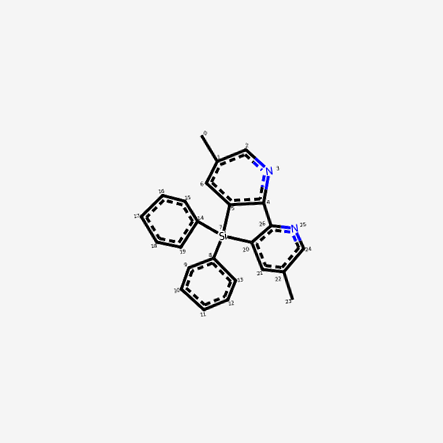 Cc1cnc2c(c1)[Si](c1ccccc1)(c1ccccc1)c1cc(C)cnc1-2